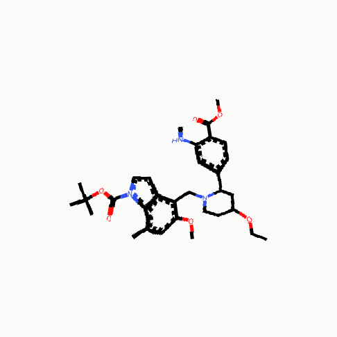 CCOC1CCN(Cc2c(OC)cc(C)c3c2ccn3C(=O)OC(C)(C)C)C(c2ccc(C(=O)OC)c(NC)c2)C1